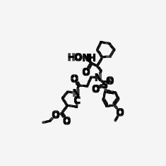 CCOC(=O)C1CCN(C(=O)CCN(CC(C(=O)NO)C2CCCCC2)S(=O)(=O)c2ccc(OC)cc2)CC1